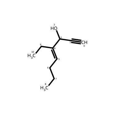 C#CC(O)C(=CCCC)CC